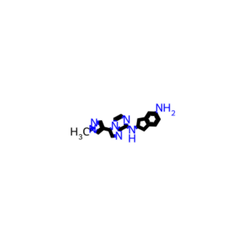 Cn1cc(C2CN=C3C(NC4Cc5ccc(N)cc5C4)=NC=CN32)cn1